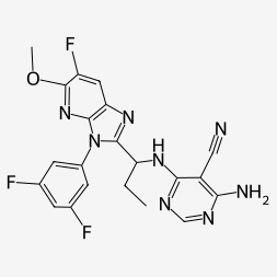 CCC(Nc1ncnc(N)c1C#N)c1nc2cc(F)c(OC)nc2n1-c1cc(F)cc(F)c1